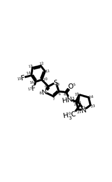 CC1C(NC(=O)c2cnc(-c3cccc(F)c3F)s2)C2CCN1CC2